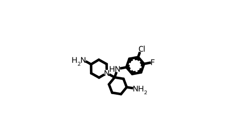 NC1CCN(C2(Nc3ccc(F)c(Cl)c3)CCCC(N)C2)CC1